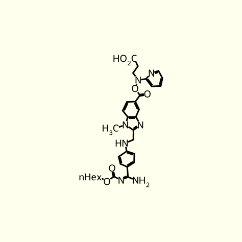 CCCCCCOC(=O)/N=C(/N)c1ccc(NCc2nc3cc(C(=O)ON(CCC(=O)O)c4ccccn4)ccc3n2C)cc1